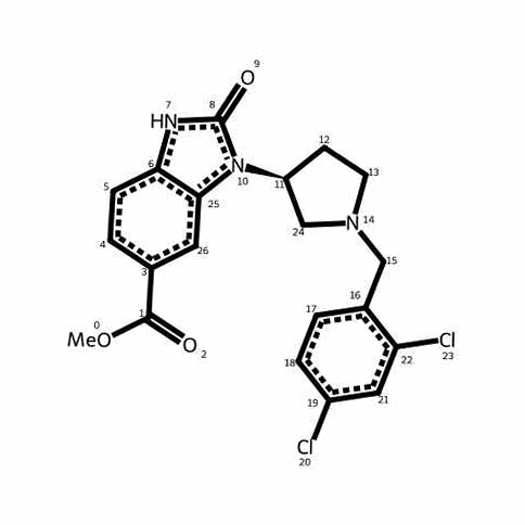 COC(=O)c1ccc2[nH]c(=O)n([C@H]3CCN(Cc4ccc(Cl)cc4Cl)C3)c2c1